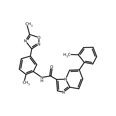 Cc1nc(-c2ccc(C)c(NC(=O)c3cnc4ccc(-c5ccccc5C)cn34)c2)no1